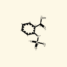 CCS(=O)(=O)Oc1ccccc1C(=O)OC